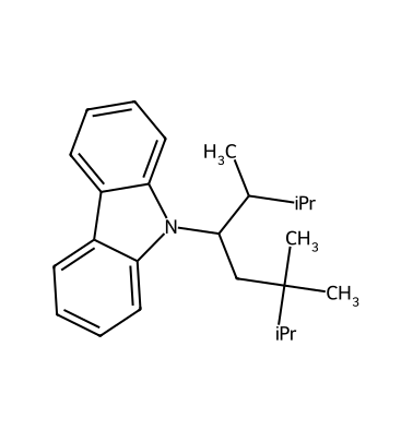 CC(C)C(C)C(CC(C)(C)C(C)C)n1c2ccccc2c2ccccc21